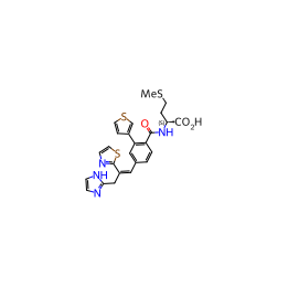 CSCC[C@H](NC(=O)c1ccc(C=C(Cc2ncc[nH]2)c2nccs2)cc1-c1ccsc1)C(=O)O